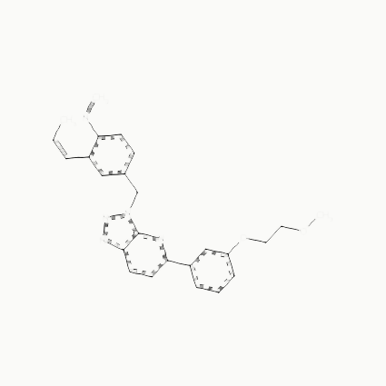 C=Nc1ccc(Cn2nnc3ccc(-c4cccc(OCCOC)c4)nc32)cc1/C=C\C